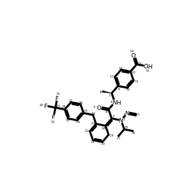 C=NN(/C(C(=O)N[C@@H](C)c1ccc(C(=O)O)cc1)=C1\CC=CC=C1Cc1ccc(C(F)(F)F)cc1)C(C)C